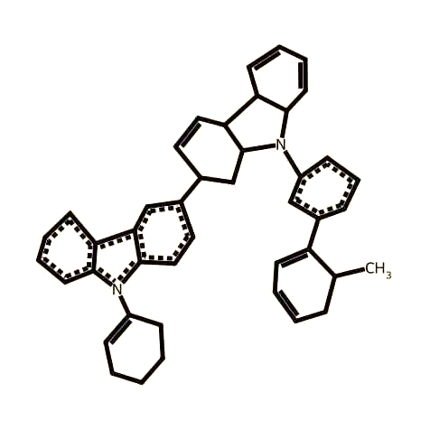 CC1CC=CC=C1c1cccc(N2C3C=CC=CC3C3C=CC(c4ccc5c(c4)c4ccccc4n5C4=CCCCC4)CC32)c1